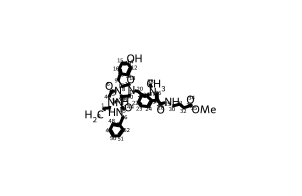 C=CCN1CC(=O)N2[C@@H](Cc3ccc(O)cc3)C(=O)N(Cc3cccc4c(C(=O)NCCCC(=O)OC)cn(C)c34)C[C@@H]2N1C(=O)NCc1ccccc1